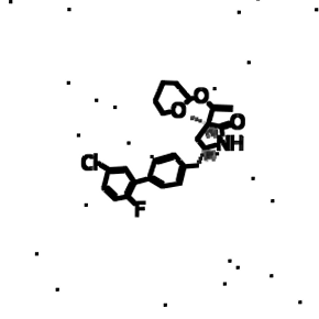 C=C(OC1CCCCO1)[C@]1(C)C[C@@H](Cc2ccc(-c3cc(Cl)ccc3F)cc2)NC1=O